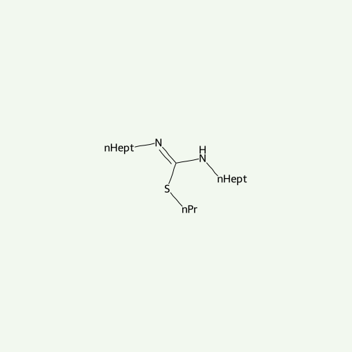 CCCCCCCN=C(NCCCCCCC)SCCC